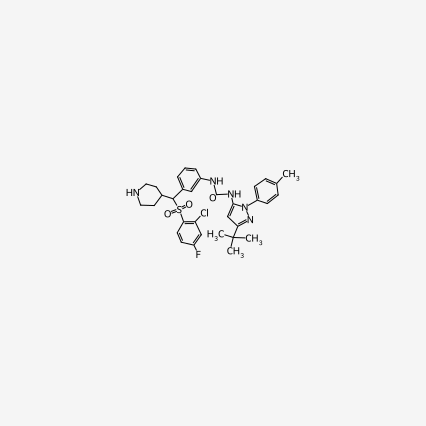 Cc1ccc(-n2nc(C(C)(C)C)cc2NC(=O)Nc2cccc(C(C3CCNCC3)S(=O)(=O)c3ccc(F)cc3Cl)c2)cc1